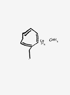 [CH2]c1ccccc1.[GeH4].[GeH4]